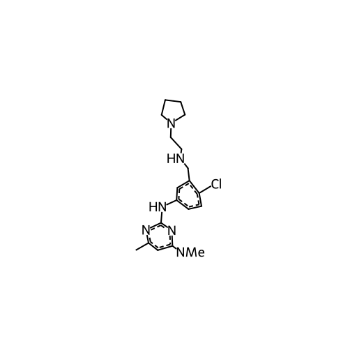 CNc1cc(C)nc(Nc2ccc(Cl)c(CNCCN3CCCC3)c2)n1